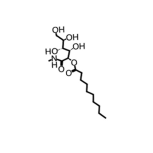 CCCCCCCCCC(=O)O[C@@H](C(=O)NC)[C@@H](O)[C@H](O)[C@H](O)CO